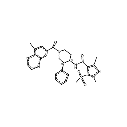 Cc1nn(C)c(S(C)(=O)=O)c1C(=O)N[C@@H]1CCN(C(=O)c2cc(C)c3nccnc3c2)C[C@@H]1c1ccccc1